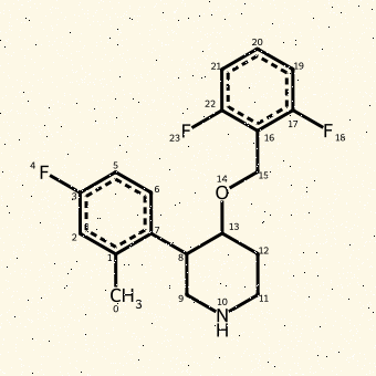 Cc1cc(F)ccc1C1CNCCC1OCc1c(F)cccc1F